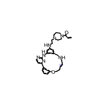 C=CC(=O)N1CCCN(CCNc2cc3cc(c2)Nc2nccc(n2)-c2cccc(c2)OCC/C=C/CNC3)CC1